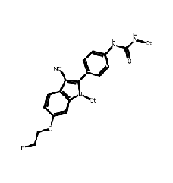 CCNC(=O)Nc1ccc(-c2c(C#N)c3ccc(OCCF)cc3n2CC)cc1